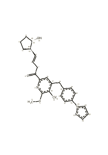 COc1nc(C(=O)C/C=C/[C@H]2CCC[C@@H]2O)cc(Cc2ccc(-n3cccn3)cc2)c1C